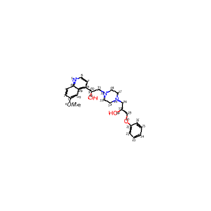 COc1ccc2nccc([C@H](O)CN3CCN(CC(O)COc4ccccc4)CC3)c2c1